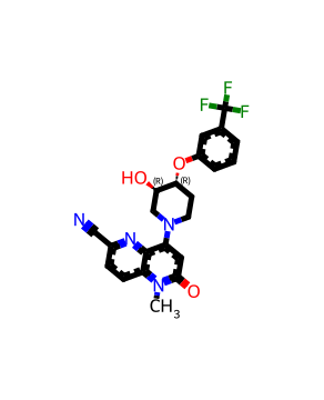 Cn1c(=O)cc(N2CC[C@@H](Oc3cccc(C(F)(F)F)c3)[C@H](O)C2)c2nc(C#N)ccc21